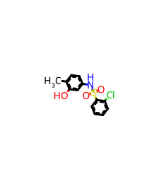 Cc1ccc(NS(=O)(=O)c2ccccc2Cl)cc1O